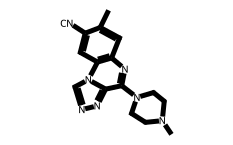 [C-]#[N+]c1cc2c(cc1C)nc(N1CCN(C)CC1)c1nncn12